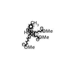 COC(=O)CCCCOCC(COCCCCC(=O)OC)(COCCC(=O)OC)NS(=O)(=O)c1ccc(C)cc1